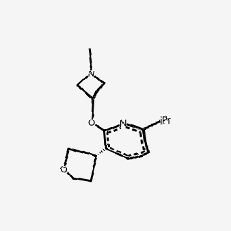 CC(C)c1ccc([C@@H]2CCOC2)c(OC2CN(C)C2)n1